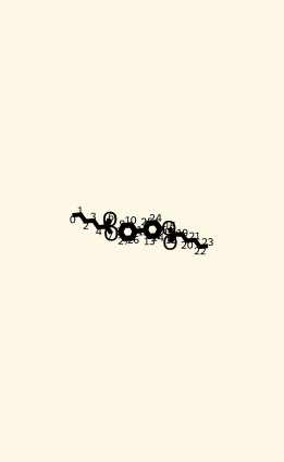 CCCCCC(=O)Oc1ccc(-c2ccc(OC(=O)CCCCC)cc2)cc1